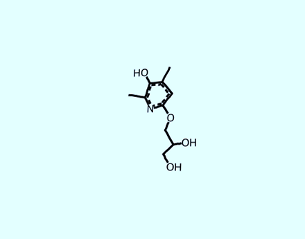 Cc1cc(OCC(O)CO)nc(C)c1O